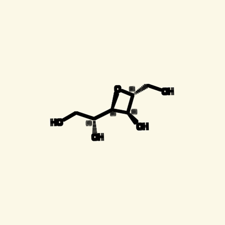 OC[C@@H](O)[C@H]1O[C@H](CO)[C@H]1O